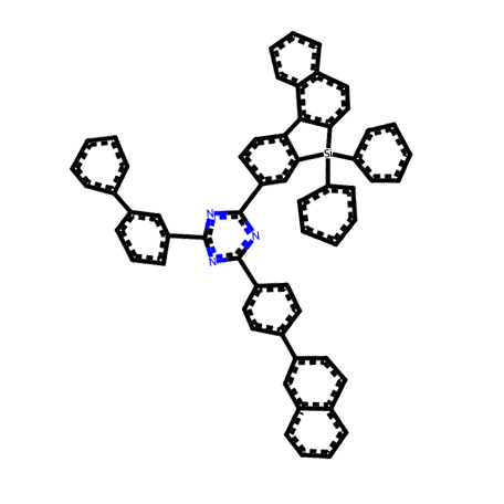 c1ccc(-c2cccc(-c3nc(-c4ccc(-c5ccc6ccccc6c5)cc4)nc(-c4ccc5c(c4)[Si](c4ccccc4)(c4ccccc4)c4ccc6ccccc6c4-5)n3)c2)cc1